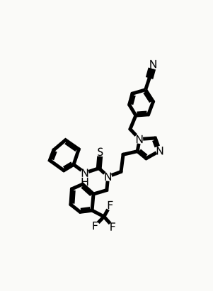 N#Cc1ccc(Cn2cncc2CCN(Cc2ccccc2C(F)(F)F)C(=S)Nc2ccccc2)cc1